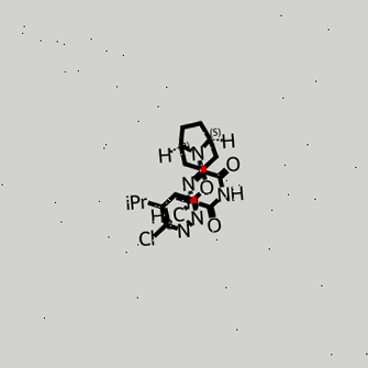 CC(C)c1cc(OC2C[C@H]3CC[C@@H](C2)N3c2nn(C)c(=O)[nH]c2=O)nnc1Cl